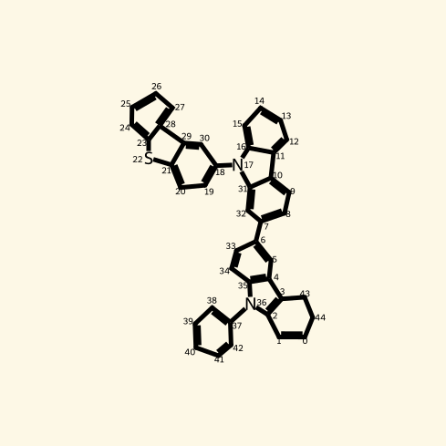 C1=Cc2c(c3cc(-c4ccc5c6ccccc6n(-c6ccc7sc8ccccc8c7c6)c5c4)ccc3n2-c2ccccc2)CC1